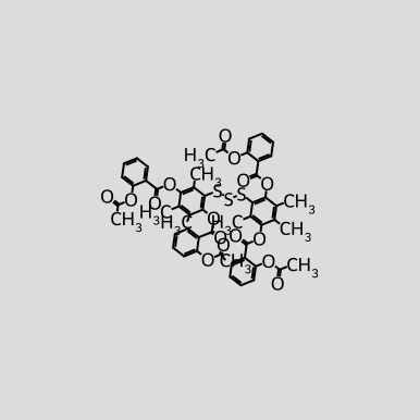 CC(=O)Oc1ccccc1C(=O)Oc1c(C)c(C)c(OC(=O)c2ccccc2OC(C)=O)c(SSSc2c(C)c(OC(=O)c3ccccc3OC(C)=O)c(C)c(C)c2OC(=O)c2ccccc2OC(C)=O)c1C